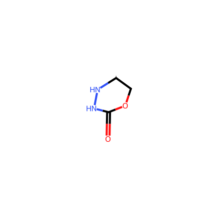 O=C1NN[CH]CO1